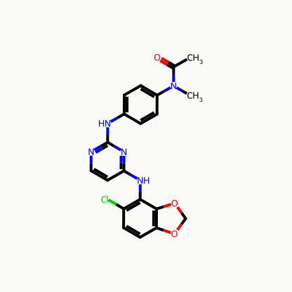 CC(=O)N(C)c1ccc(Nc2nccc(Nc3c(Cl)ccc4c3OCO4)n2)cc1